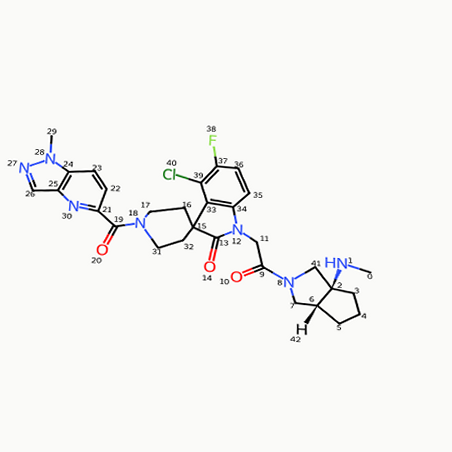 CN[C@@]12CCC[C@@H]1CN(C(=O)CN1C(=O)C3(CCN(C(=O)c4ccc5c(cnn5C)n4)CC3)c3c1ccc(F)c3Cl)C2